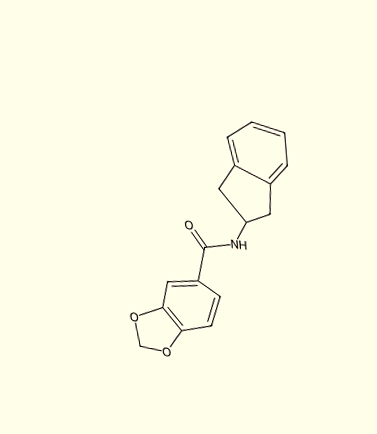 O=C(NC1Cc2ccccc2C1)c1ccc2c(c1)OCO2